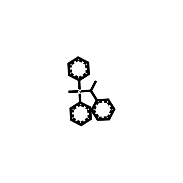 CC(c1ccccc1)S(C)(c1ccccc1)c1ccccc1